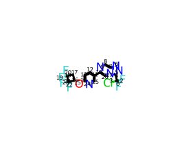 FC(F)(Cl)c1nnc2cnc(-c3ccc(OC4CC(F)(F)C4(F)F)nc3)cn12